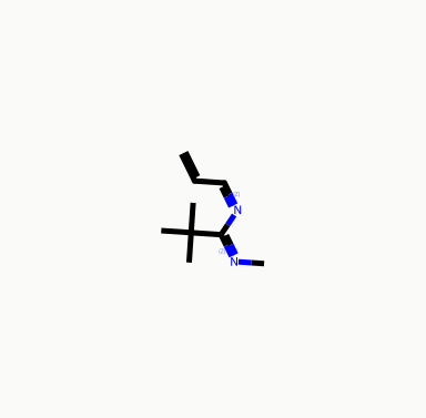 C=C/C=N\C(=N/C)C(C)(C)C